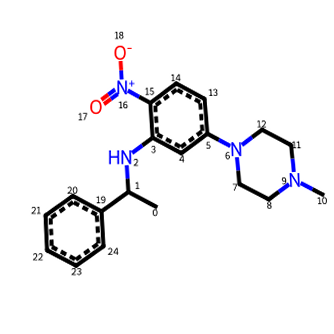 CC(Nc1cc(N2CCN(C)CC2)ccc1[N+](=O)[O-])c1ccccc1